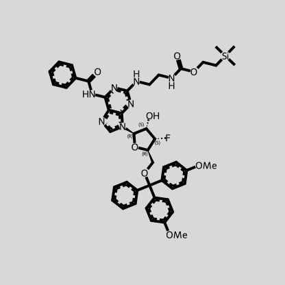 COc1ccc(C(OC[C@H]2O[C@@H](n3cnc4c(NC(=O)c5ccccc5)nc(NCCNC(=O)OCC[Si](C)(C)C)nc43)[C@H](O)[C@@H]2F)(c2ccccc2)c2ccc(OC)cc2)cc1